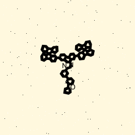 C1=C(c2ccc3c4ccc(-c5ccc6c(c5)C5(c7ccccc7-c7ccccc75)c5ccccc5-6)cc4c4nc(-c5cccc(-c6ccc7oc8ccccc8c7c6)c5)cnc4c3c2)CC2C(=C1)c1ccccc1C21c2ccccc2-c2ccccc21